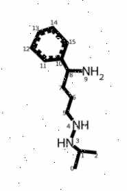 CC(C)NNCCCC(N)c1ccccc1